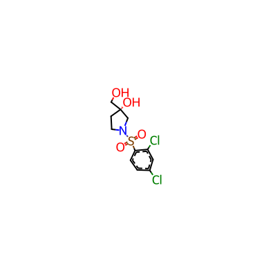 O=S(=O)(c1ccc(Cl)cc1Cl)N1CC[C@@](O)(CO)C1